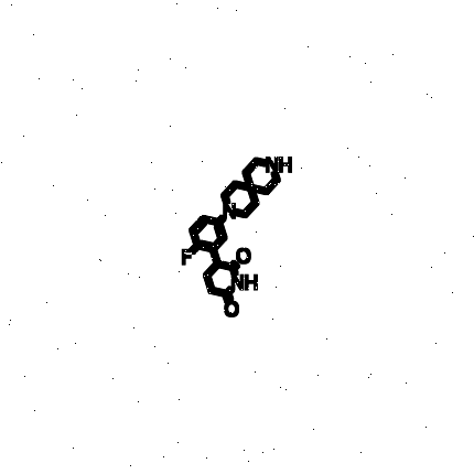 O=C1CCC(c2cc(N3CCC4(CCNCC4)CC3)ccc2F)C(=O)N1